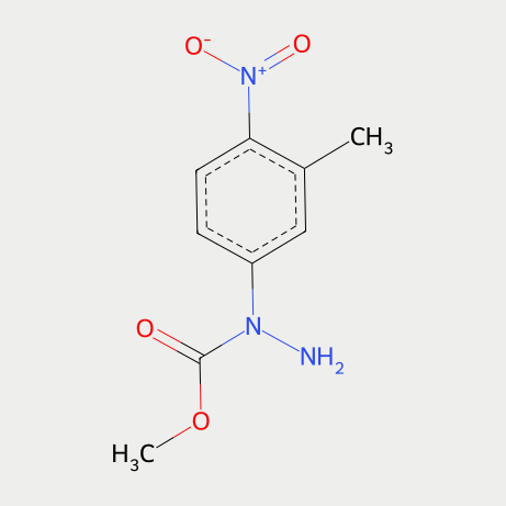 COC(=O)N(N)c1ccc([N+](=O)[O-])c(C)c1